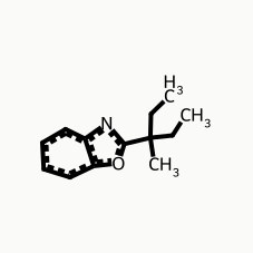 CCC(C)(CC)c1nc2ccccc2o1